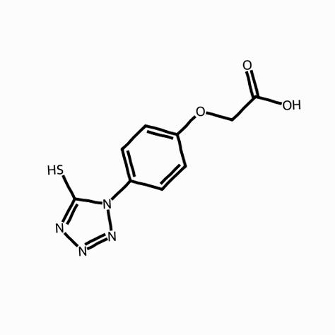 O=C(O)COc1ccc(-n2nnnc2S)cc1